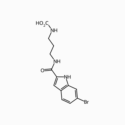 O=C(O)NCCCNC(=O)c1cc2ccc(Br)cc2[nH]1